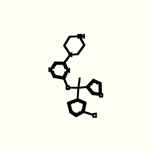 CC(Oc1cncc(N2CCNCC2)n1)(c1ccoc1)c1cccc(Cl)c1